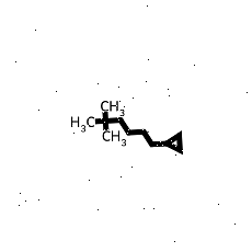 CC(C)(C)CC[CH]CC1CC1